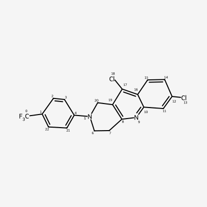 FC(F)(F)c1ccc(N2CCc3nc4cc(Cl)ccc4c(Cl)c3C2)cc1